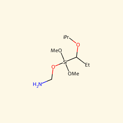 CCC(OC(C)C)[Si](OC)(OC)OCN